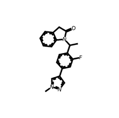 CC(c1ccc(-c2cnn(C)c2)cc1F)N1C(=O)Cc2ccccc21